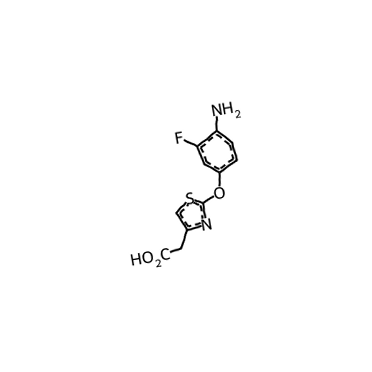 Nc1ccc(Oc2nc(CC(=O)O)cs2)cc1F